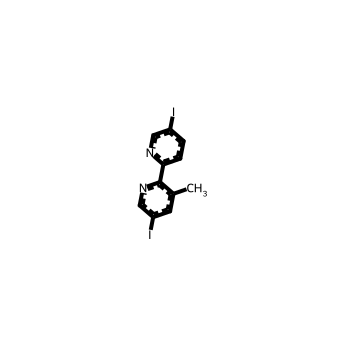 Cc1cc(I)cnc1-c1ccc(I)cn1